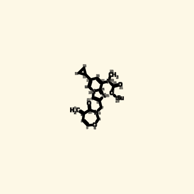 C=C1C=COCN(Cc2cn3cc(C4CC4)cc(N(C)C(=O)OC(C)(C)C)c3n2)C1=O